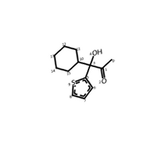 CC(=O)C(O)(c1cccs1)C1CCCCC1